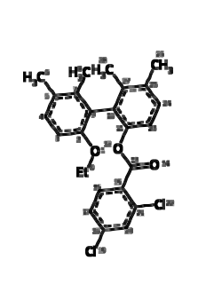 CCOc1ccc(C)c(C)c1-c1c(OC(=O)c2ccc(Cl)cc2Cl)ccc(C)c1C